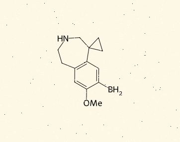 Bc1cc2c(cc1OC)CCNCC21CC1